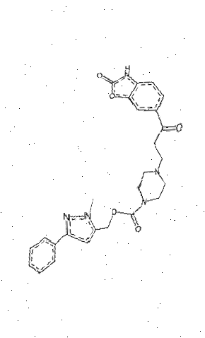 Cn1nc(-c2ccccc2)cc1COC(=O)N1CCN(CCC(=O)c2ccc3[nH]c(=O)oc3c2)CC1